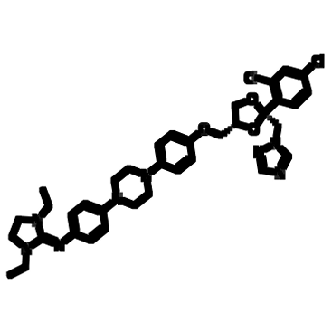 CCN1CCN(CC)C1=Nc1ccc(N2CCN(c3ccc(OC[C@@H]4CO[C@@](Cn5cncn5)(c5ccc(Cl)cc5Cl)O4)cc3)CC2)cc1